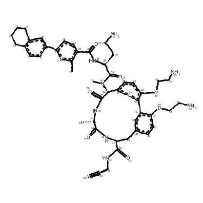 Cc1nc(-c2ccc3c(c2)CCCC3)ccc1C(=O)N[C@@H](CCN)C(=O)N(C)[C@@H]1C(=O)N[C@@H](C)C(=O)N[C@H](C(=O)NCC#N)Cc2ccc(OCCN)c(c2)-c2cc1ccc2OCCN